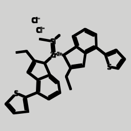 CCC1=Cc2c(-c3cccs3)cccc2[CH]1[Zr+2]([CH]1C(CC)=Cc2c(-c3cccs3)cccc21)=[Si](C)C.[Cl-].[Cl-]